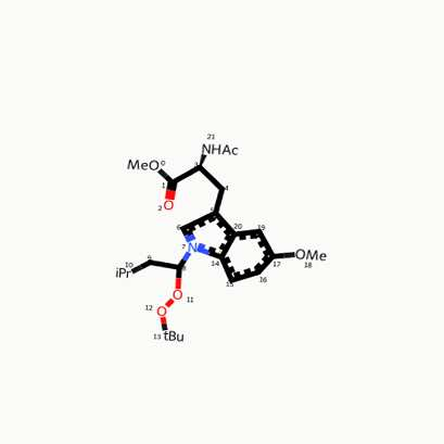 COC(=O)[C@H](Cc1cn(C(CC(C)C)OOC(C)(C)C)c2ccc(OC)cc12)NC(C)=O